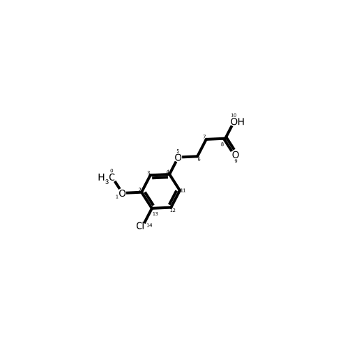 COc1cc(OCCC(=O)O)ccc1Cl